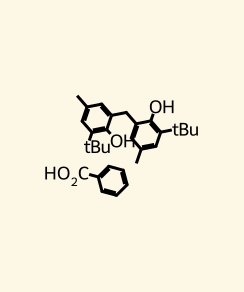 Cc1cc(Cc2cc(C)cc(C(C)(C)C)c2O)c(O)c(C(C)(C)C)c1.O=C(O)c1ccccc1